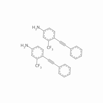 Nc1ccc(C#Cc2ccccc2)c(C(F)(F)F)c1.Nc1ccc(C#Cc2ccccc2)c(C(F)(F)F)c1